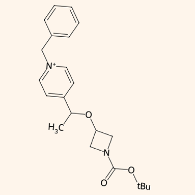 CC(OC1CN(C(=O)OC(C)(C)C)C1)c1cc[n+](Cc2ccccc2)cc1